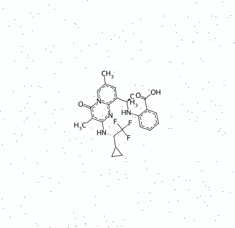 Cc1cc([C@@H](C)Nc2ccccc2C(=O)O)c2nc(N[C@@H](C3CC3)C(F)(F)F)c(C)c(=O)n2c1